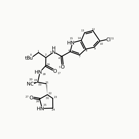 CC(C)(C)CC(NC(=O)c1cc2cc(Cl)ccc2[nH]1)C(=O)N[C@H](C#N)C[C@@H]1CCNC1=O